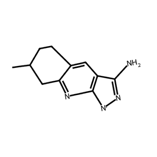 CC1CCc2cc3c(nc2C1)[N]N=C3N